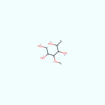 COC(C(O)CO)C(O)C(C)O